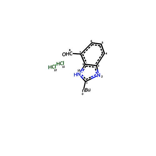 CCCCc1nc2cccc(C=O)c2[nH]1.Cl.Cl